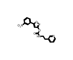 O=C(NCCc1cccnc1)Oc1cc(-c2cccc([N+](=O)[O-])c2)on1